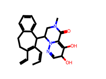 C=CC1=C(/C=C\C)C(C2CN(C)C(=O)C3=C(O)C(O)C=NN32)c2ccccc2CC1